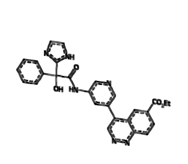 CCOC(=O)c1ccc2nncc(-c3cncc(NC(=O)C(O)(c4ccccc4)c4ncc[nH]4)c3)c2c1